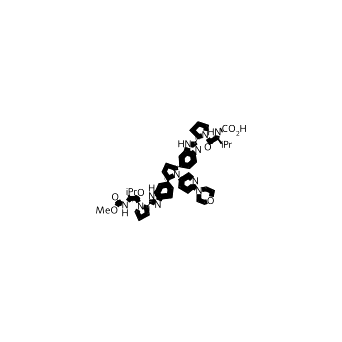 COC(=O)N[C@H](C(=O)N1CCC[C@H]1c1nc2ccc([C@H]3CC[C@H](c4ccc5nc([C@@H]6CCCN6C(=O)[C@@H](NC(=O)O)C(C)C)[nH]c5c4)N3c3ccc(N4CCOCC4)nc3)cc2[nH]1)C(C)C